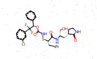 CC(C)C[C@H](SNC(=O)O[C@H](c1ccccc1)C(F)(F)c1cccc(Cl)c1)C(=O)N[C@H](CO)C[C@@H]1CCNC1=O